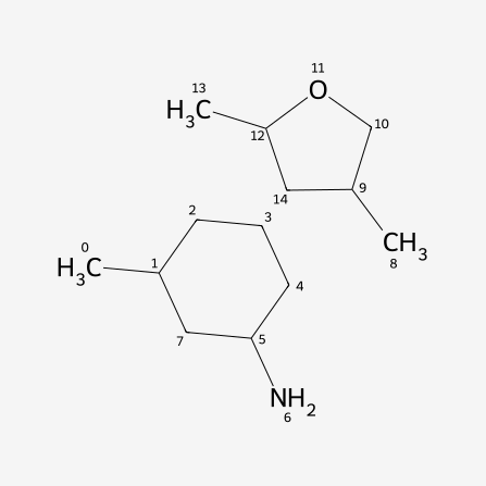 CC1CCCC(N)C1.CC1COC(C)C1